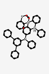 c1ccc(-c2cc(-c3ccccc3)cc(N(c3ccccc3)c3ccc4c(c3)[SiH](c3ccccc3)c3ccccc3[Si]43c4ccccc4Sc4ccccc43)c2)cc1